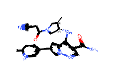 Cc1ccc(-c2cc3c(N[C@@H]4CN(C(=O)CC#N)C[C@H]4C)c(C(N)=O)cnn3c2)cn1